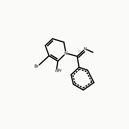 CCCC1=C(Br)C=CCN1/C(=N/C)c1ccccc1